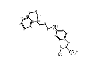 CCOC(Cc1ccc(NCCCN2CCCc3ccccc32)cc1)C(=O)O